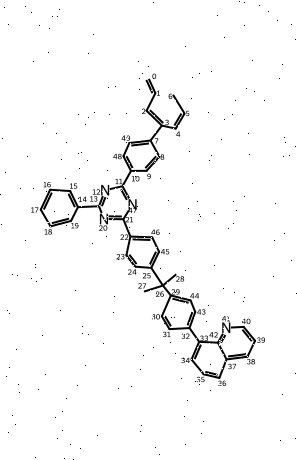 C=C/C=C(\C=C/C)c1ccc(-c2nc(-c3ccccc3)nc(-c3ccc(C(C)(C)c4ccc(-c5cccc6cccnc56)cc4)cc3)n2)cc1